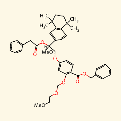 COCCOCOc1cc(OC[C@](OC)(OC(=O)Cc2ccccc2)c2ccc3c(c2)C(C)(C)CCC3(C)C)ccc1C(=O)OCc1ccccc1